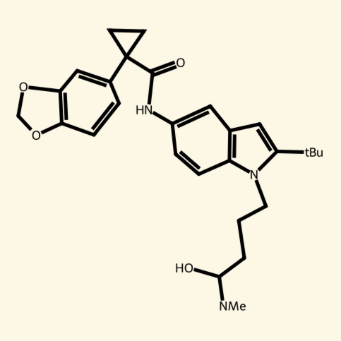 CNC(O)CCCn1c(C(C)(C)C)cc2cc(NC(=O)C3(c4ccc5c(c4)OCO5)CC3)ccc21